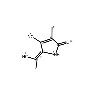 CC1=C(C#N)/C(=C(/C)C#N)NC1=O